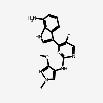 COc1nn(C)cc1Nc1ncc(F)c(-c2c[nH]c3c(N)cccc23)n1